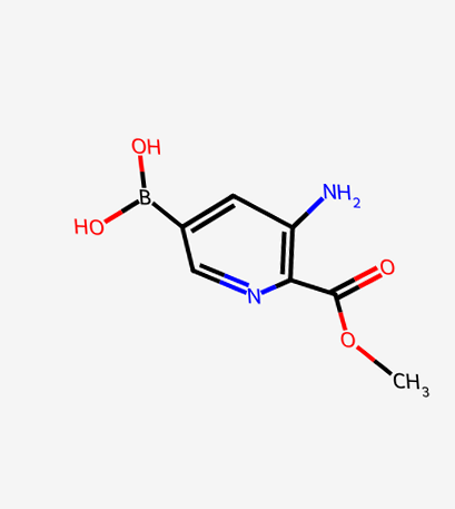 COC(=O)c1ncc(B(O)O)cc1N